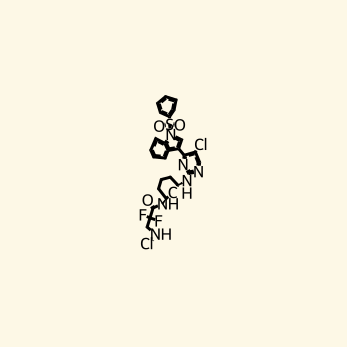 O=C(N[C@H]1CCC[C@@H](Nc2ncc(Cl)c(-c3cn(S(=O)(=O)c4ccccc4)c4ccccc34)n2)C1)C(F)(F)CNCl